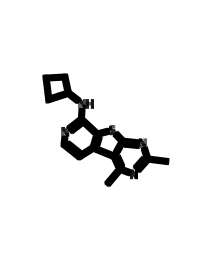 Cc1nc(C)c2c(n1)sc1c(NC3CCC3)nccc12